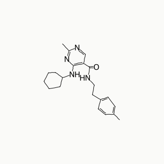 Cc1ccc(CCNC(=O)c2cnc(C)nc2NC2CCCCC2)cc1